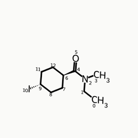 CCN(C)C(=O)[C@H]1CC[C@H](I)CC1